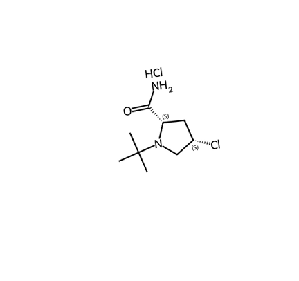 CC(C)(C)N1C[C@@H](Cl)C[C@H]1C(N)=O.Cl